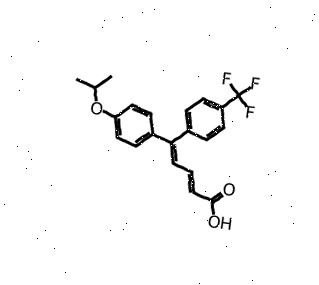 CC(C)Oc1ccc(/C(=C/C=C/C(=O)O)c2ccc(C(F)(F)F)cc2)cc1